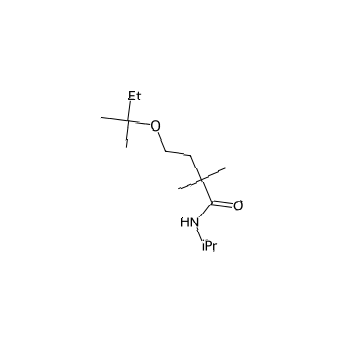 CCC(C)(C)OCCC(C)(C)C(=O)NC(C)C